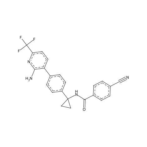 N#Cc1ccc(C(=O)NC2(c3ccc(-c4ccc(C(F)(F)F)nc4N)cc3)CC2)cc1